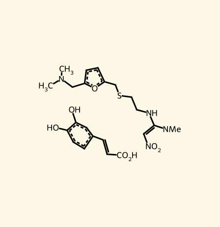 CNC(=C[N+](=O)[O-])NCCSCc1ccc(CN(C)C)o1.O=C(O)C=Cc1ccc(O)c(O)c1